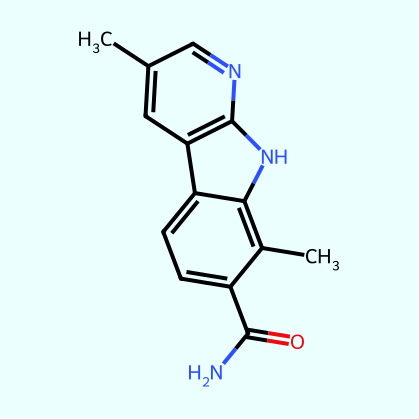 Cc1cnc2[nH]c3c(C)c(C(N)=O)ccc3c2c1